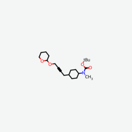 CN(C(=O)OC(C)(C)C)C1CCC(CC#CCOC2CCCCO2)CC1